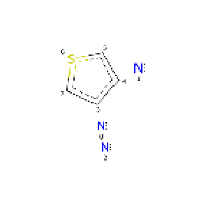 [N].[N].[N].c1ccsc1